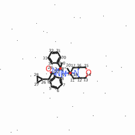 Cc1nc2ccccc2n1C1CC2COCC(C1)N2CC[C@H](NC(=O)CC1CC1)c1ccccc1